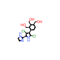 OCc1ccc(-c2c(Cl)[nH]c(-c3ncc[nH]3)c2Cl)c(CO)c1CO